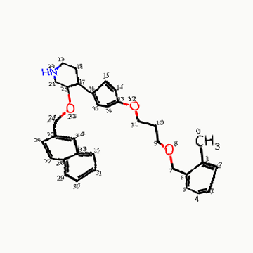 Cc1ccccc1COCCCOc1ccc(C2CCNCC2OCc2ccc3ccccc3c2)cc1